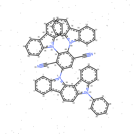 N#Cc1cc(-n2c3ccccc3c3ccc4c(c5ccccc5n4-c4ccccc4)c32)c(C#N)c(-n2c3ccccc3c3ccccc32)c1-n1c2ccccc2c2ccccc21